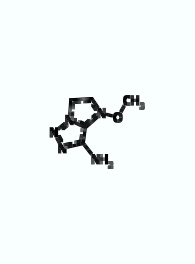 COn1ccn2nnc(N)c12